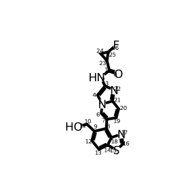 O=C(Nc1cn2cc(-c3c(CO)ccc4scnc34)ccc2n1)C1CC1F